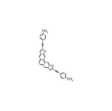 Cc1ccc(C#Cc2cc3cc4ccc5cc6cc(C#Cc7ccc(C)cc7)sc6cc5c4cc3s2)cc1